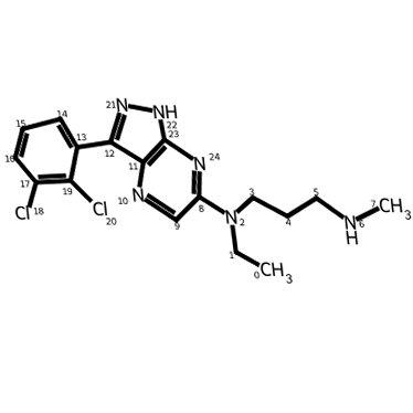 CCN(CCCNC)c1cnc2c(-c3cccc(Cl)c3Cl)n[nH]c2n1